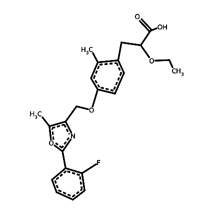 CCOC(Cc1ccc(OCc2nc(-c3ccccc3F)oc2C)cc1C)C(=O)O